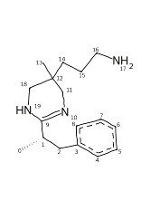 C[C@@H](Cc1ccccc1)C1=NCC(C)(CCCN)CN1